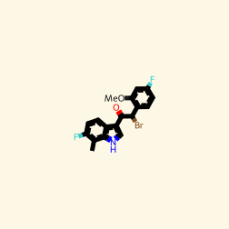 COc1cc(F)ccc1C(Br)C(=O)c1c[nH]c2c(C)c(F)ccc12